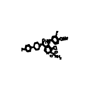 COc1ccc(Nc2c(C(=O)N3CCC(c4ccc(F)cc4)CC3)cnc(S(N)(=O)=O)c2Cl)cc1F